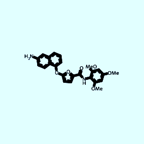 COc1cc(OC)c(NC(=O)c2ccc(Oc3cccc4cc(N)ccc34)o2)c(OC)c1